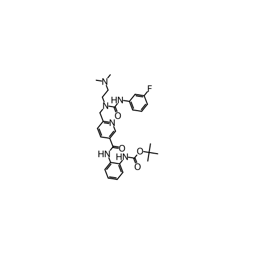 CN(C)CCN(Cc1ccc(C(=O)Nc2ccccc2NC(=O)OC(C)(C)C)cn1)C(=O)Nc1cccc(F)c1